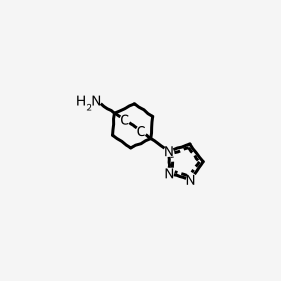 NC12CCC(n3ccnn3)(CC1)CC2